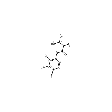 CCC(C(=O)Oc1ccc(F)c(F)c1F)C(C)O